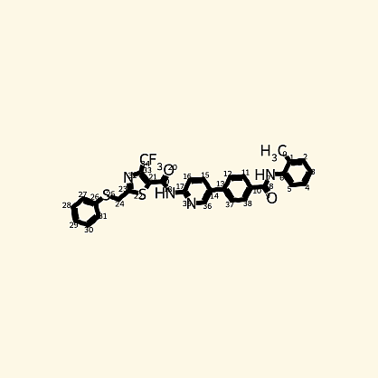 Cc1ccccc1NC(=O)c1ccc(-c2ccc(NC(=O)c3sc(CSc4ccccc4)nc3C(F)(F)F)nc2)cc1